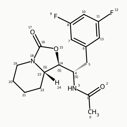 CC(=O)N[C@@H](Cc1cc(F)cc(F)c1)[C@@H]1OC(=O)N2CCCC[C@@H]12